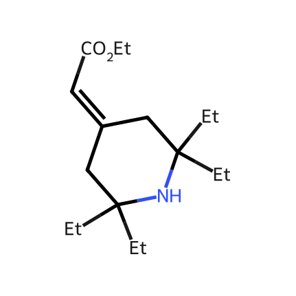 CCOC(=O)C=C1CC(CC)(CC)NC(CC)(CC)C1